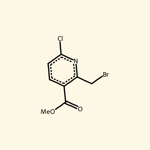 COC(=O)c1ccc(Cl)nc1CBr